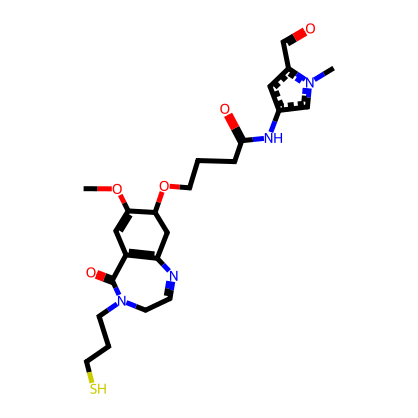 COC1=CC2=C(CC1OCCCC(=O)Nc1cc(C=O)n(C)c1)N=CCN(CCCS)C2=O